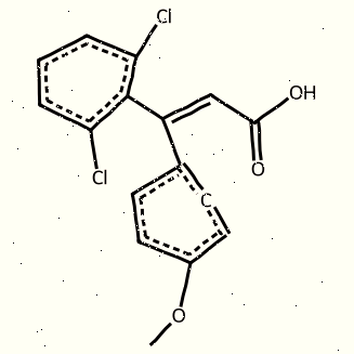 COc1ccc(C(=CC(=O)O)c2c(Cl)cccc2Cl)cc1